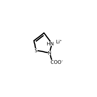 O=C([O-])N1NC=CS1.[Li+]